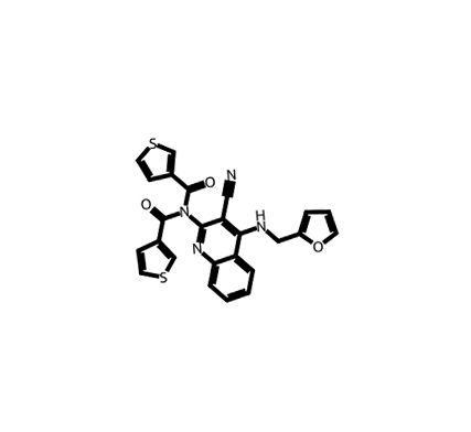 N#Cc1c(N(C(=O)c2ccsc2)C(=O)c2ccsc2)nc2ccccc2c1NCc1ccco1